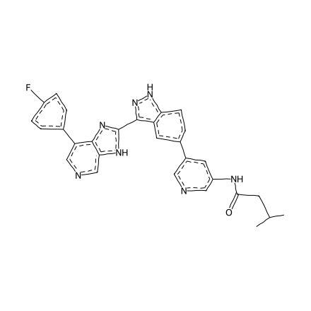 CC(C)CC(=O)Nc1cncc(-c2ccc3[nH]nc(-c4nc5c(-c6ccc(F)cc6)cncc5[nH]4)c3c2)c1